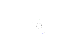 Cl.N=C(N)Cc1ccc(Br)c(Br)c1